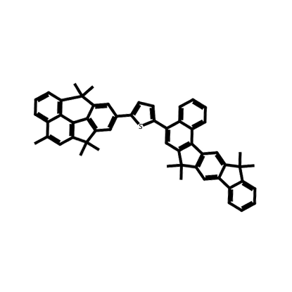 Cc1cc2c3c4c(cccc14)C(C)(C)c1cc(-c4ccc(-c5cc6c(c7ccccc57)-c5cc7c(cc5C6(C)C)-c5ccccc5C7(C)C)s4)cc(c1-3)C2(C)C